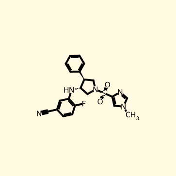 Cn1cnc(S(=O)(=O)N2C[C@H](Nc3cc(C#N)ccc3F)[C@@H](c3ccccc3)C2)c1